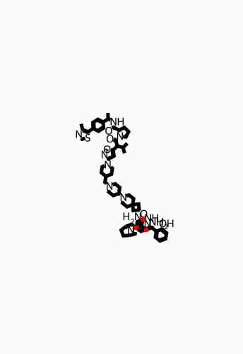 Cc1ncsc1-c1ccc(C(C)NC(=O)C2CCCN2C(=O)C(c2cc(N3CCC(CN4CCC(N5CCC6(CC5)CC(Oc5cc(N7C8CCC7CN(C(/C=C(\N)c7ccccc7O)=C(N)N)C8)ccn5)C6)CC4)CC3)no2)C(C)C)cc1